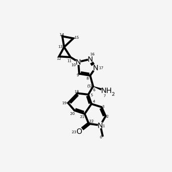 Cn1ccc2c([C@H](N)c3cn(C4CC45CC5)nn3)cccc2c1=O